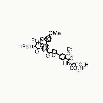 CCCCCC(C(=O)NCNC(=O)c1ccc(-c2ccc(C(=O)NC(CC(=O)O)C(=O)O)c(OCC)c2)o1)C(CC)N(C=O)OC(=O)c1ccc(OC)cc1